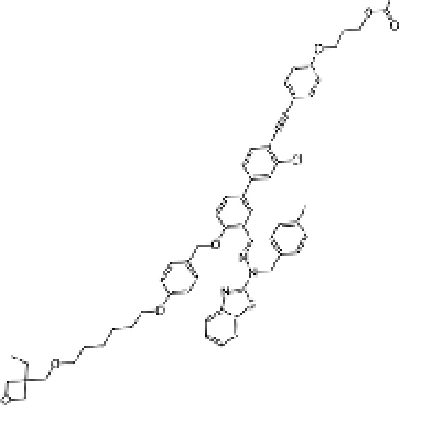 C=CC(=O)OCCCOc1ccc(C#Cc2ccc(-c3ccc(OCc4ccc(OCCCCCCOCC5(CC)COC5)cc4)c(/C=N/N(Cc4ccc(C)cc4)c4nc5ccccc5s4)c3)cc2Cl)cc1